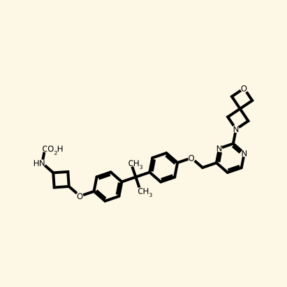 CC(C)(c1ccc(OCc2ccnc(N3CC4(COC4)C3)n2)cc1)c1ccc(OC2CC(NC(=O)O)C2)cc1